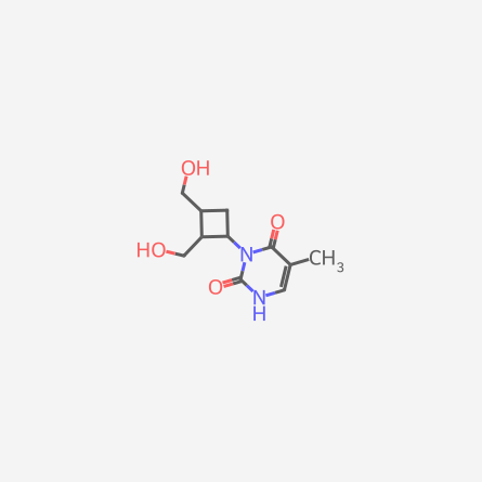 Cc1c[nH]c(=O)n(C2CC(CO)C2CO)c1=O